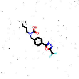 CCCCN(Cc1ccc(-c2nnc(C(F)F)o2)cc1)C(=O)O